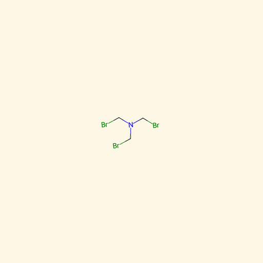 BrCN(CBr)CBr